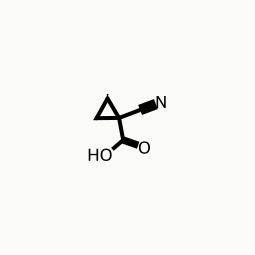 N#CC1(C(=O)O)[CH]C1